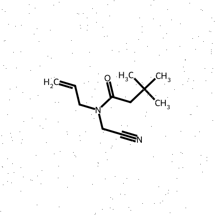 C=CCN(CC#N)C(=O)CC(C)(C)C